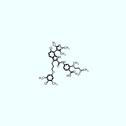 Cc1cc(OCCCc2c(C(=O)Nc3ccc(C(=O)O)c(N(C)CCN(C)C)c3)[nH]c3c(-c4c(C)nn(C)c4C)c(Cl)ccc23)cc(C)c1Cl